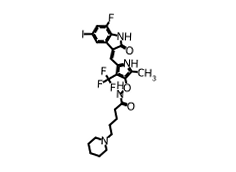 Cc1[nH]c(/C=C2\C(=O)Nc3c(F)cc(I)cc32)c(C(F)(F)F)c1ONC(=O)CCCCN1CCCCC1